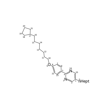 CCCCCCCc1cnc(-c2ccc(OCCCCCCCC3CCCC3)cc2)nc1